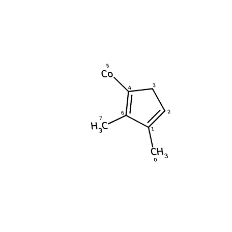 CC1=CC[C]([Co])=C1C